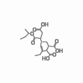 CCC1=CC(C(CC(=O)O)C(=O)OC(C)CC)CC(C(=O)O)C1C(=O)O